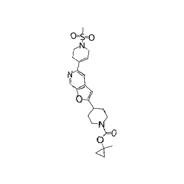 CC1(OC(=O)N2CCC(c3cc4cc(C5=CCN(S(C)(=O)=O)CC5)ncc4o3)CC2)CC1